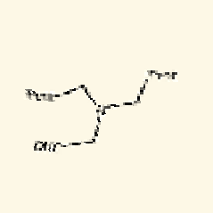 CCCC(C)[CH2][Al]([CH2]C=O)[CH2]C(C)CCC